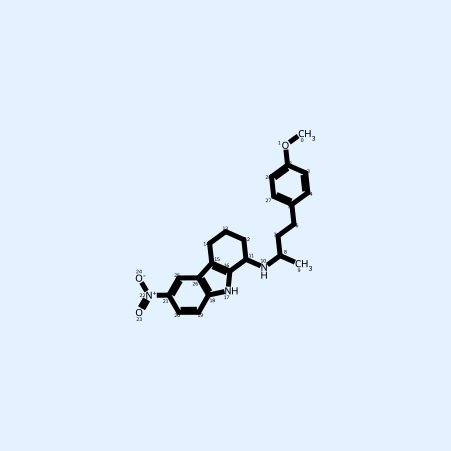 COc1ccc(CCC(C)NC2CCCc3c2[nH]c2ccc([N+](=O)[O-])cc32)cc1